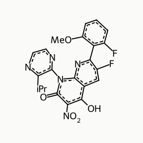 COc1cccc(F)c1-c1nc2c(cc1F)c(O)c([N+](=O)[O-])c(=O)n2-c1nccnc1C(C)C